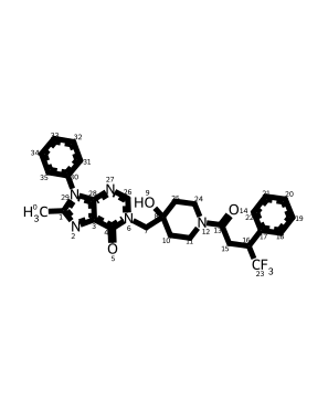 Cc1nc2c(=O)n(CC3(O)CCN(C(=O)CC(c4ccccc4)C(F)(F)F)CC3)cnc2n1-c1ccccc1